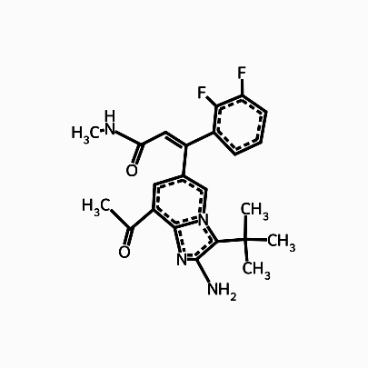 CNC(=O)/C=C(\c1cc(C(C)=O)c2nc(N)c(C(C)(C)C)n2c1)c1cccc(F)c1F